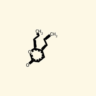 C=C/C=c1/ccc(=O)o/c1=C/C=C